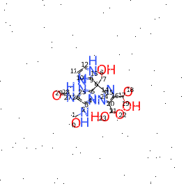 O=CNc1nc(C(CO)(c2ncc[nH]2)c2nc(C(=O)O)c(C(=O)O)[nH]2)[nH]c1NC=O